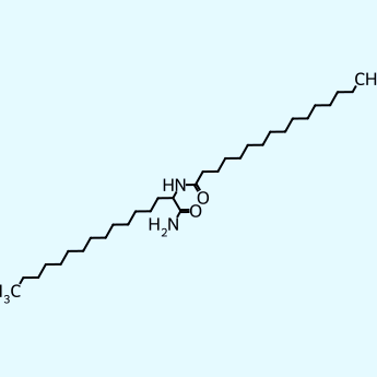 CCCCCCCCCCCCCCCC(=O)NC(CCCCCCCCCCCCCC)C(N)=O